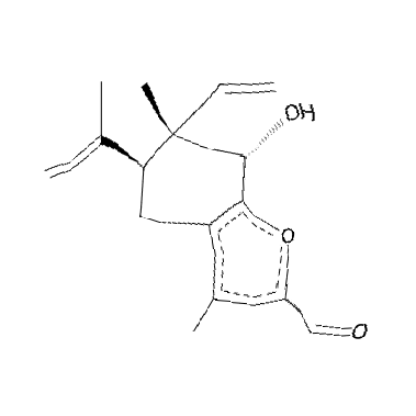 C=C[C@]1(C)[C@H](O)c2oc(C=O)c(C)c2C[C@H]1C(=C)C